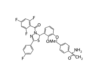 C=S(N)(=O)c1ccc(COc2cccc(C3SC(c4ccc(F)cc4)=NN3C(=O)c3c(F)cc(F)cc3F)c2OC)cc1